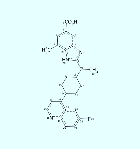 Cc1cc(C(=O)O)cc2nc(C(C)C3CCC(c4ccnc5ccc(F)cc45)CC3)[nH]c12